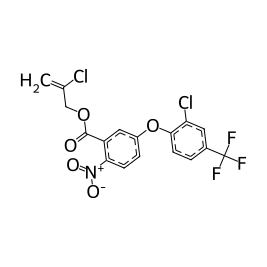 C=C(Cl)COC(=O)c1cc(Oc2ccc(C(F)(F)F)cc2Cl)ccc1[N+](=O)[O-]